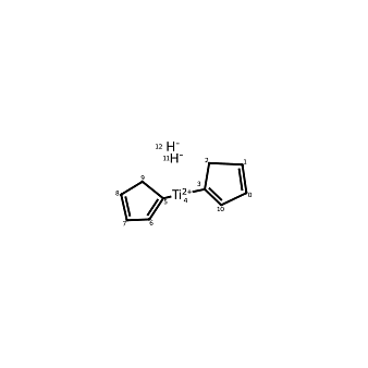 C1=CC[C]([Ti+2][C]2=CC=CC2)=C1.[H-].[H-]